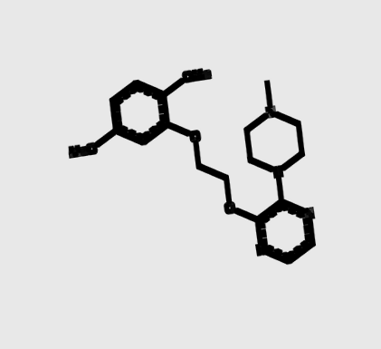 COc1ccc(OC)c(OCCOc2nccnc2N2CCN(C)CC2)c1